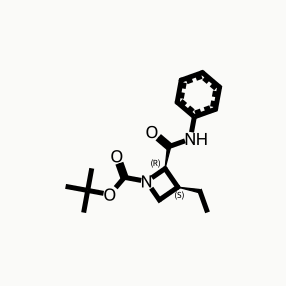 CC[C@H]1CN(C(=O)OC(C)(C)C)[C@H]1C(=O)Nc1ccccc1